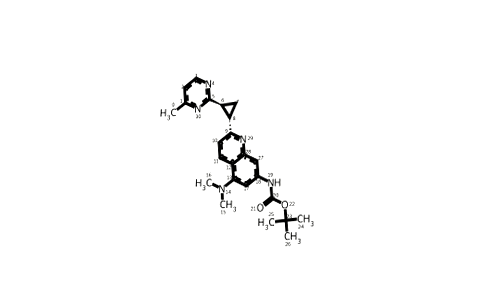 Cc1ccnc([C@H]2C[C@@H]2c2ccc3c(N(C)C)cc(NC(=O)OC(C)(C)C)cc3n2)n1